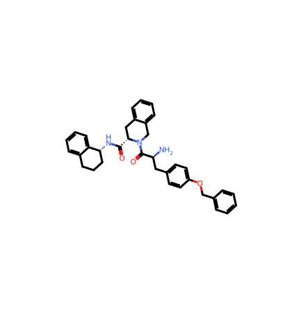 N[C@@H](Cc1ccc(OCc2ccccc2)cc1)C(=O)N1Cc2ccccc2C[C@H]1C(=O)N[C@@H]1CCCc2ccccc21